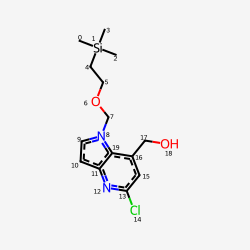 C[Si](C)(C)CCOCn1ccc2nc(Cl)cc(CO)c21